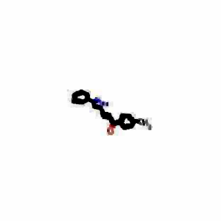 Cc1ccc(C(=O)C=Cc2cc(-c3ccccc3)n[nH]2)cc1